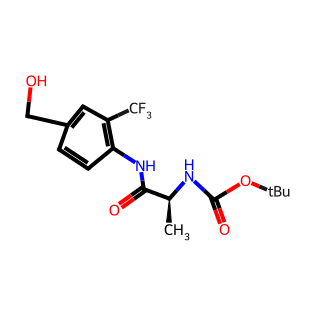 C[C@H](NC(=O)OC(C)(C)C)C(=O)Nc1ccc(CO)cc1C(F)(F)F